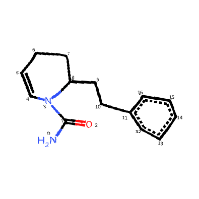 NC(=O)N1C=CCCC1CCc1ccccc1